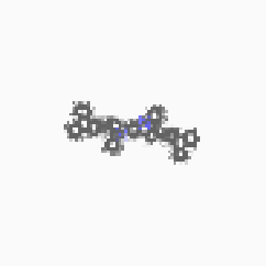 c1ccc2c(c1)c1ccccc1c1cc(-c3ccc4c5cc6c(cc5n5c7ccccc7c3c45)c3ccc(-c4ccc5c7ccccc7c7ccccc7c5c4)c4c5ccccc5n6c34)ccc21